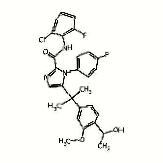 COc1cc(C(C)(C)c2cnc(C(=O)Nc3c(F)cccc3Cl)n2-c2ccc(F)cc2)ccc1C(C)O